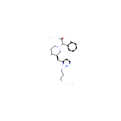 COC(=O)C(c1ccccc1F)N1CCC(S)C(=Cc2ccnn2CCCC(=O)O)C1